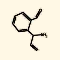 C=CC(N)c1ccccc1[C]=O